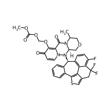 COC(=O)OCOc1c2n(ccc1=O)N([C@@H]1c3ccccc3-c3scc4c3-c3c1ccc(F)c3C(F)(F)C4)[C@@H]1COCC(C)N1C2=O